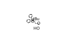 CC(C)(C)[Si](OCC[C@H]1O[C@@H]1CO)(c1ccccc1)c1ccccc1